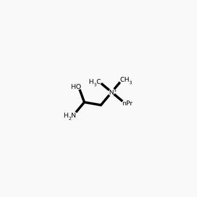 CCC[N+](C)(C)CC(N)O